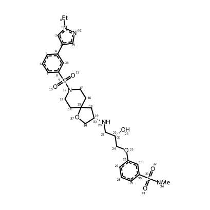 CCn1cc(-c2cccc(S(=O)(=O)N3CCC4(CC3)C[C@H](NC[C@H](O)COc3cccc(S(=O)(=O)NC)c3)CO4)c2)cn1